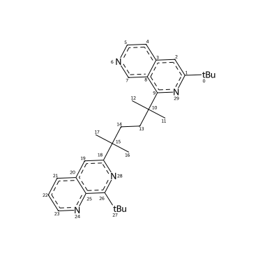 CC(C)(C)c1cc2ccncc2c(C(C)(C)CCC(C)(C)c2cc3cccnc3c(C(C)(C)C)n2)n1